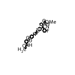 C=CC(=O)Nc1cccc(S(=O)(=O)c2ccc(N3CC(F)(CN4CCC([C@@](C#N)(c5cccc(F)c5)[C@H]5CCC[C@@H]5NC(=O)OC)CC4)C3)cc2)c1